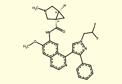 COc1cc2ncnc(-c3cn(CC(F)F)nc3-c3ccccc3)c2nc1NC(=O)[C@@]12C[C@@H]1CN(C)C2